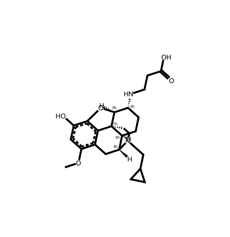 COc1cc(O)c2c3c1C[C@@H]1[C@@H]4CC[C@@H](NCCC(=O)O)[C@H](O2)[C@]34CCN1CC1CC1